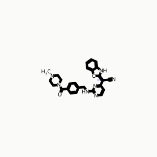 CN1CCN(C(=O)c2ccc(CNc3nccc(/C(C#N)=C4/Nc5ccccc5O4)n3)cc2)CC1